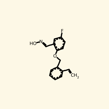 C=Cc1ccccc1COc1ccc(F)cc1/C=N/O